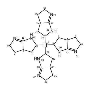 C1CC2C[CH]([Hf]([CH]3CC4CCN=C4N3)([CH]3CC4CCN=C4N3)[CH]3CC4CCN=C4N3)NC2=N1